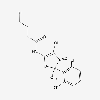 CC1(c2c(Cl)cccc2Cl)OC(NC(=O)CCCBr)=C(O)C1=O